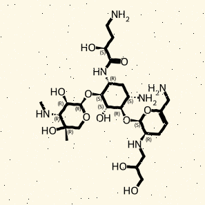 CN[C@@H]1[C@@H](O)[C@@H](O[C@@H]2[C@@H](O)[C@H](O[C@H]3OC(CN)=CC[C@H]3NCC(O)CO)[C@@H](N)C[C@H]2NC(=O)[C@@H](O)CCN)OC[C@]1(C)O